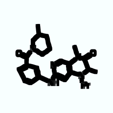 CC1CCCN(C(=O)c2cccc(Nc3cc4c(cn3)N(C)C(=O)C(C)N4C(C)C)c2)C1